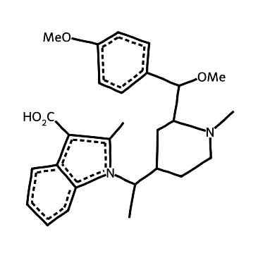 COc1ccc(C(OC)C2CC(C(C)n3c(C)c(C(=O)O)c4ccccc43)CCN2C)cc1